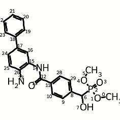 COP(=O)(OC)C(O)c1ccc(C(=O)Nc2cc(-c3ccccc3)ccc2N)cc1